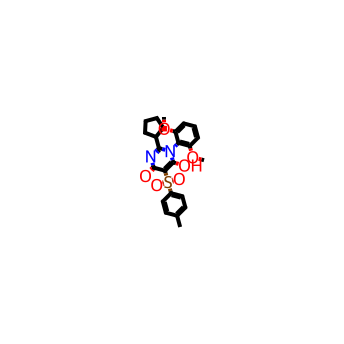 COc1cccc(OC)c1-n1c(C2CCCC2)nc(=O)c(S(=O)(=O)c2ccc(C)cc2)c1O